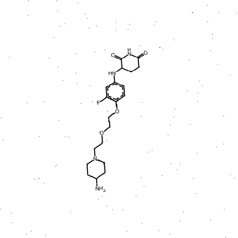 NC1CCN(CCOCCOc2ccc(NC3CCC(=O)NC3=O)cc2F)CC1